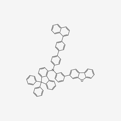 c1ccc(C2(c3ccccc3)c3ccccc3-c3c(N(c4ccc(-c5ccc(-c6cccc7ccccc67)cc5)cc4)c4cccc(-c5ccc6c(c5)oc5ccccc56)c4)cccc32)cc1